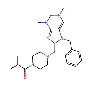 CC(C)C(=O)N1CCN(CC2N=C3C(=CN(C)CN3C)N2Cc2ccccc2)CC1